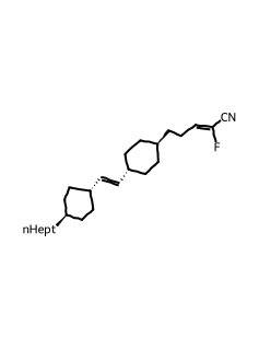 CCCCCCC[C@H]1CC[C@H](C=C[C@H]2CC[C@H](CCC=C(F)C#N)CC2)CC1